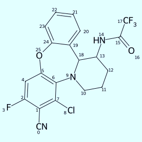 N#Cc1c(F)cc2c(c1Cl)N1CCCC(NC(=O)C(F)(F)F)C1c1ccccc1O2